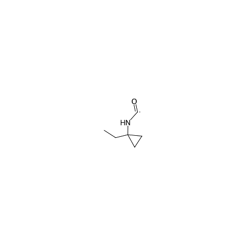 CCC1(N[C]=O)CC1